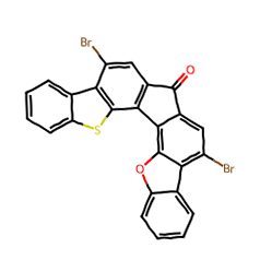 O=C1c2cc(Br)c3c(oc4ccccc43)c2-c2c1cc(Br)c1c2sc2ccccc21